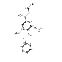 COc1cc(C(O)CNC(C)C)cc(Cl)c1OCc1ccccc1.Cl